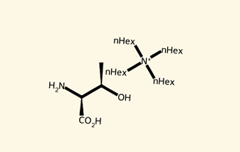 CCCCCC[N+](CCCCCC)(CCCCCC)CCCCCC.C[C@@H](O)[C@H](N)C(=O)O